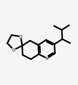 CC(C)C(C)c1cnc2c(c1)CC1(CC2)OCCO1